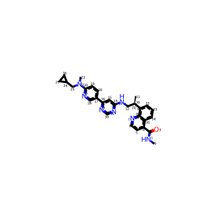 CNC(=O)c1ccnc2c([C@H](C)CNc3cc(-c4ccc(N(C)CC5CC5)nc4)ncn3)cccc12